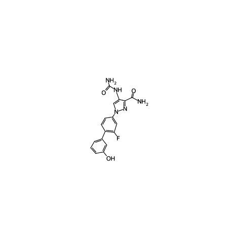 NC(=O)Nc1cn(-c2ccc(-c3cccc(O)c3)c(F)c2)nc1C(N)=O